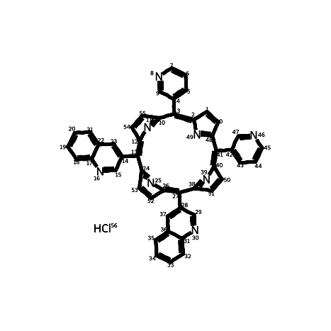 C1=CC2=C(c3cccnc3)C3=NC(=C(c4cnc5ccccc5c4)C4=NC(=C(c5cnc6ccccc6c5)C5=NC(=C(c6cccnc6)C1=N2)C=C5)C=C4)C=C3.Cl